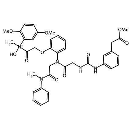 COC(=O)Cc1cccc(NC(=O)NCC(=O)N(CC(=O)N(C)c2ccccc2)c2ccccc2OCC(=O)[N+](C)(O)c2cc(OC)ccc2OC)c1